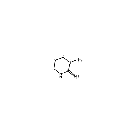 N=C1NCCCN1N